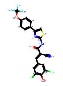 N#C/C(=C\c1cc(Cl)c(O)c(Cl)c1)C(=O)Nc1nc(-c2ccc(OC(F)(F)F)cc2)cs1